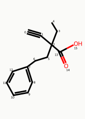 C#CC(CC)(CCc1ccccc1)C(=O)O